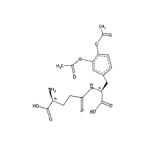 CC(=O)Oc1ccc(C[C@H](NC(=O)CC[C@H](N)C(=O)O)C(=O)O)cc1OC(C)=O